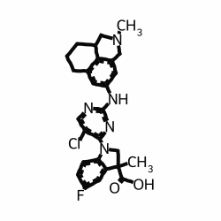 CN1Cc2cc(Nc3ncc(Cl)c(N4CC(C)(C(=O)O)c5cc(F)ccc54)n3)cc3c2C(CCC3)C1